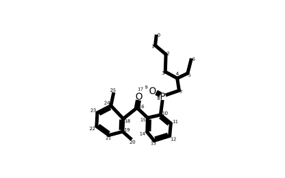 CCCCC(CC)C[P](=O)c1ccccc1C(=O)c1c(C)cccc1C